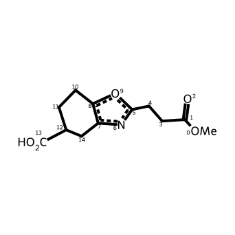 COC(=O)CCc1nc2c(o1)CCC(C(=O)O)C2